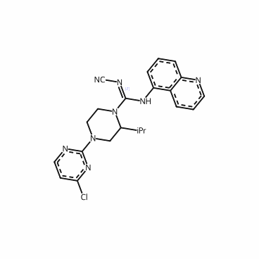 CC(C)C1CN(c2nccc(Cl)n2)CCN1/C(=N\C#N)Nc1cccc2ncccc12